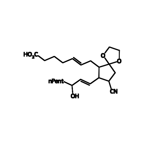 CCCCCC(O)C=CC1C(C#N)CC2(OCCO2)C1CC=CCCCC(=O)O